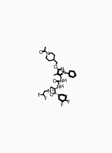 CC(=O)N1CCC(COc2nn(-c3ccccc3)c(NC(=O)N[C@@H]3CN(CC(F)F)O[C@H]3c3ccc(F)c(F)c3)c2C)CC1